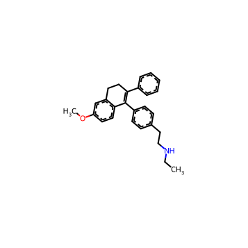 CCNCCc1ccc(C2=C(c3ccccc3)CCc3cc(OC)ccc32)cc1